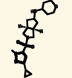 Cn1nc(C2CC2)cc1S(=O)(=O)N1C[C@H]2CC(NC3CCOCC3)C[C@H]2C1